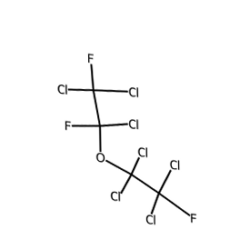 FC(Cl)(Cl)C(F)(Cl)OC(Cl)(Cl)C(F)(Cl)Cl